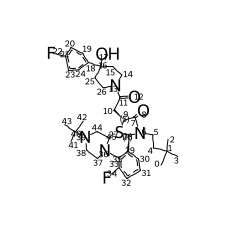 CC(C)(C)CCN1C(=O)[C@H](CC(=O)N2CCC(O)(c3ccc(F)cc3)CC2)S[C@@H]1c1cccc(F)c1N1CCN(C(C)(C)C)CC1